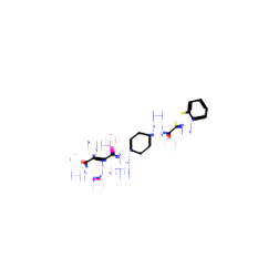 Nc1c(C(=O)NC2CCC(NC(=O)c3nc4ccccc4s3)CC2)[nH]c(=O)[nH]c1=O